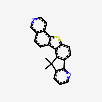 CC1(C)c2cccnc2-c2ccc3sc4c5ccncc5ccc4c3c21